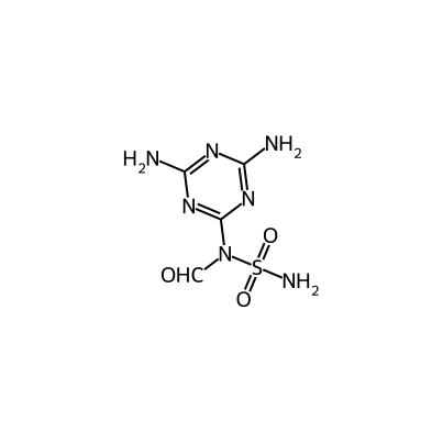 Nc1nc(N)nc(N(C=O)S(N)(=O)=O)n1